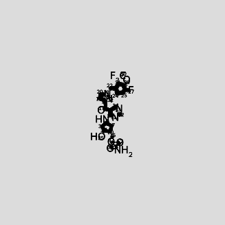 NS(=O)(=O)OC[C@H]1C[C@@H](Nc2ncncc2C(=O)c2ccn(Cc3ccc(F)c(OC(F)(F)F)c3)n2)C[C@@H]1O